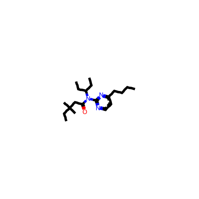 CCCCc1ccnc(N(C(=O)CC(C)(C)CC)C(CC)CC)n1